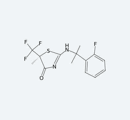 CC(C)(NC1=NC(=O)[C@@](C)(C(F)(F)F)S1)c1ccccc1F